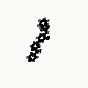 O=c1cc(-c2ccnc(NC3CCOCC3)n2)ccn1Cc1nc2ccccc2o1